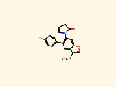 O=C(O)c1coc2cc(N3CCCC3=O)c(-c3ccc(F)cc3)cc12